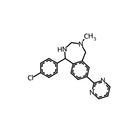 CN1CNC(c2ccc(Cl)cc2)c2ccc(-c3ncccn3)cc2C1